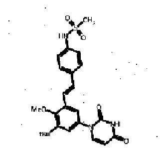 COc1c(C=Cc2ccc(NS(C)(=O)=O)cc2)cc(-n2ccc(=O)[nH]c2=O)cc1C(C)(C)C